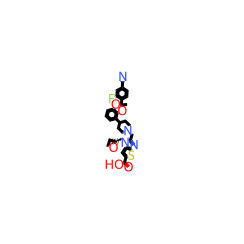 CC1(c2ccc(C#N)cc2F)Oc2cccc(C3CCN(Cc4nc5sc(C(=O)O)cc5n4C[C@@H]4CCO4)CC3)c2O1